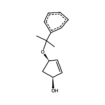 CC(C)(O[C@H]1C=C[C@@H](O)C1)c1ccccc1